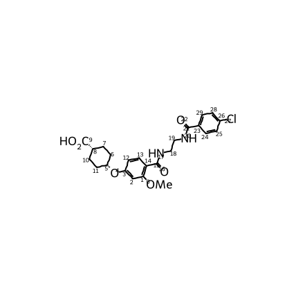 COc1cc(O[C@H]2CC[C@@H](C(=O)O)CC2)ccc1C(=O)NCCNC(=O)c1ccc(Cl)cc1